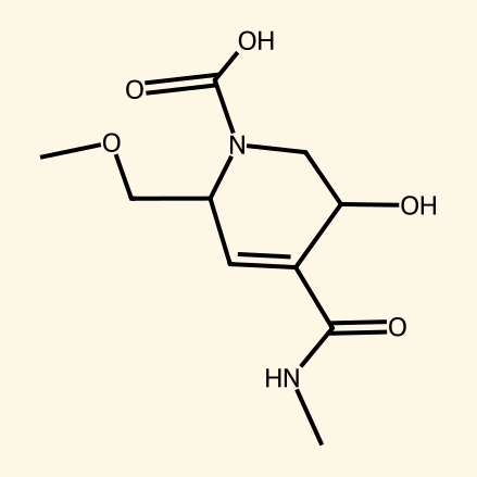 CNC(=O)C1=CC(COC)N(C(=O)O)CC1O